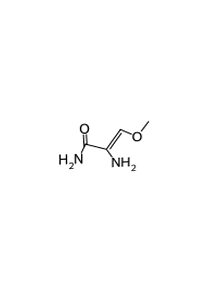 COC=C(N)C(N)=O